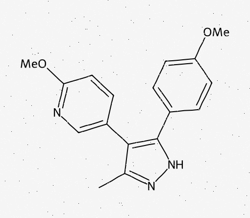 COc1ccc(-c2[nH]nc(C)c2-c2ccc(OC)nc2)cc1